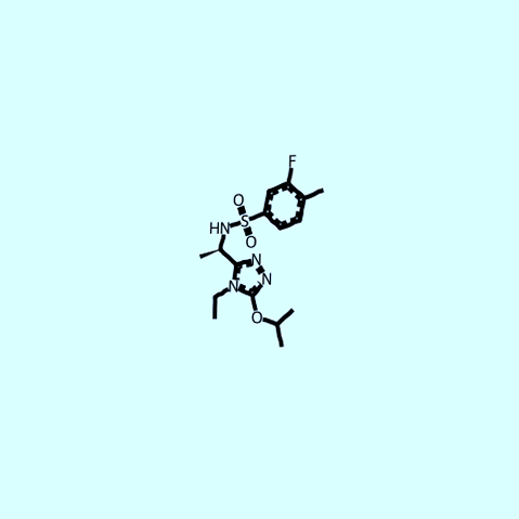 CCn1c(OC(C)C)nnc1[C@@H](C)NS(=O)(=O)c1ccc(C)c(F)c1